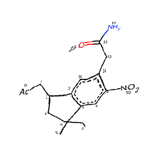 CC(=O)CC1CC(C)(C)c2cc([N+](=O)[O-])c(CC(N)=O)cc21